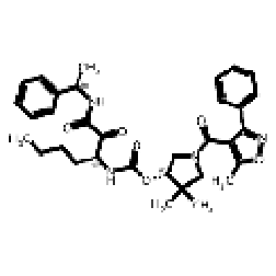 CCCC[C@H](NC(=O)O[C@@H]1CN(C(=O)c2c(-c3ccccc3)noc2C)CC1(C)C)C(=O)C(=O)N[C@H](C)c1ccccc1